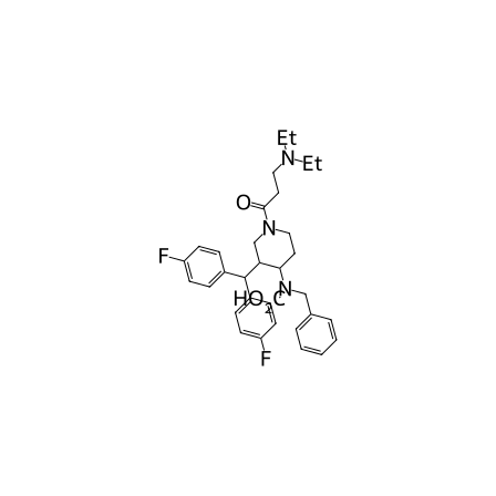 CCN(CC)CCC(=O)N1CCC(N(Cc2ccccc2)C(=O)O)C(C(c2ccc(F)cc2)c2ccc(F)cc2)C1